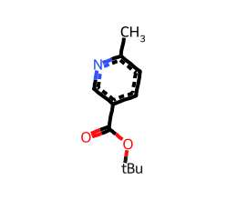 Cc1ccc(C(=O)OC(C)(C)C)cn1